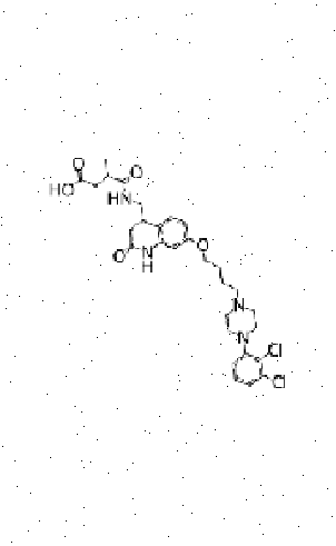 CC(CC(=O)O)C(=O)NCC1CC(=O)Nc2cc(OCCCCN3CCN(c4cccc(Cl)c4Cl)CC3)ccc21